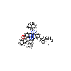 C=C/C=C(\C=C)c1ccc(C2N=C(c3cccc4ccccc34)N=C(c3ccc4oc5c6ccccc6ccc5c4c3-n3c4ccccc4c4cc5ccccc5cc43)N2)cc1